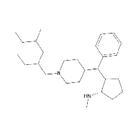 CCC(C)CC(CC)CN1CCC(C(c2ccccc2)C2CCC[C@@H]2NC)CC1